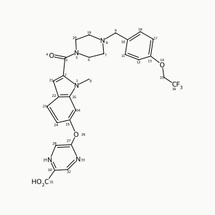 Cn1c(C(=O)N2CCN(Cc3ccc(OCC(F)(F)F)cc3)CC2)cc2ccc(Oc3cnc(C(=O)O)cn3)cc21